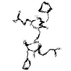 O=C(O)CCC(=O)N[C@@H](Cc1ccccc1)C(=O)NCCNC(=O)[C@H](Cc1ccccc1)NC(=O)CCC(=O)O